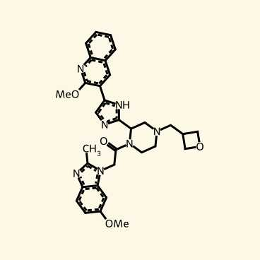 COc1ccc2nc(C)n(CC(=O)N3CCN(CC4COC4)CC3c3ncc(-c4cc5ccccc5nc4OC)[nH]3)c2c1